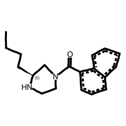 CCCC[C@H]1CN(C(=O)c2cccc3ccccc23)CCN1